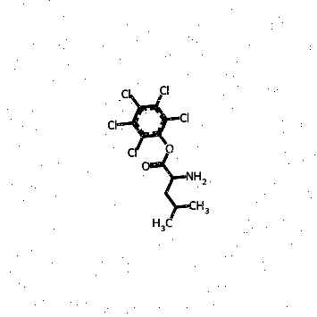 CC(C)CC(N)C(=O)Oc1c(Cl)c(Cl)c(Cl)c(Cl)c1Cl